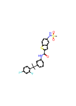 CC(C)(c1cccc(NC(=O)c2cc3cc(NS(C)(=O)=O)ccc3s2)c1)c1ccc(F)cc1F